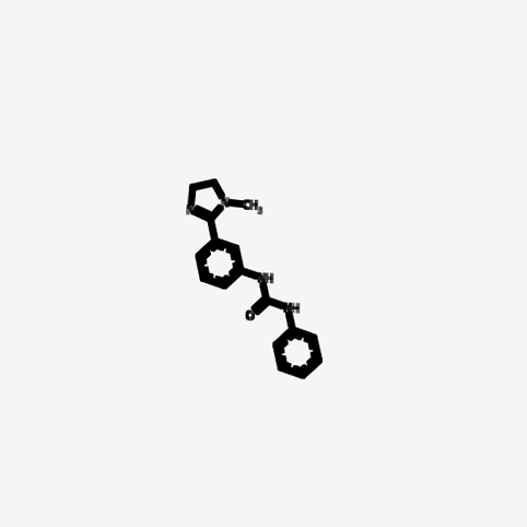 CN1CCN=C1c1cccc(NC(=O)Nc2ccccc2)c1